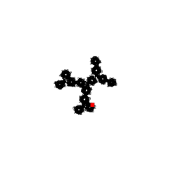 c1ccc(-c2ccc(N(c3ccc(-c4ccccc4)cc3)c3ccc(-n4c5ccc(-c6ccc7c(c6)c6ccccc6n7-c6ccccc6)cc5c5cc(-c6ccc7c(c6)c6ccccc6n7-c6ccccc6)ccc54)cc3)cc2)cc1